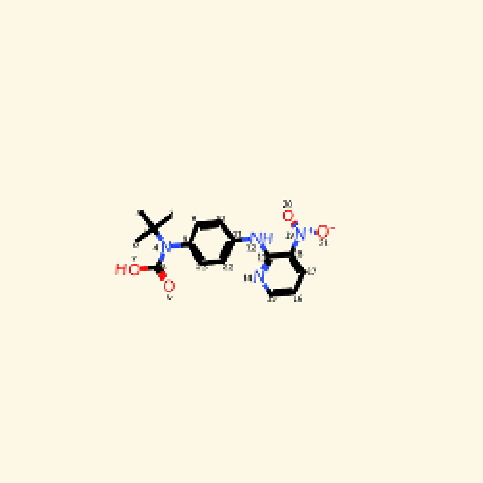 CC(C)(C)N(C(=O)O)c1ccc(Nc2ncccc2[N+](=O)[O-])cc1